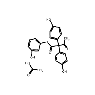 CC(=O)C(C(=O)Oc1cccc(O)c1)(c1ccc(O)cc1)c1ccc(O)cc1.CC(=O)O